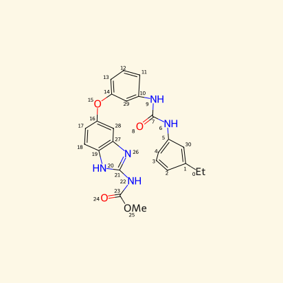 CCc1cccc(NC(=O)Nc2cccc(Oc3ccc4[nH]c(NC(=O)OC)nc4c3)c2)c1